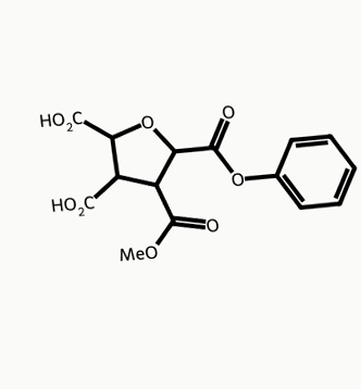 COC(=O)C1C(C(=O)Oc2ccccc2)OC(C(=O)O)C1C(=O)O